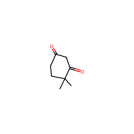 CC1(C)CCC(=O)[CH]C1=O